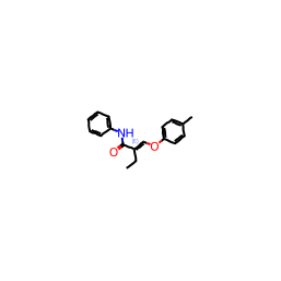 CC/C(=C\Oc1ccc(C)cc1)C(=O)Nc1ccccc1